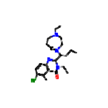 CCCC(c1nc2ccc(Br)c(C)c2c(=O)n1CC)N1CCCN(CC)CC1